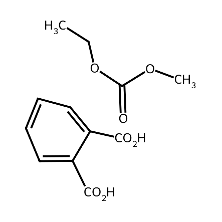 CCOC(=O)OC.O=C(O)c1ccccc1C(=O)O